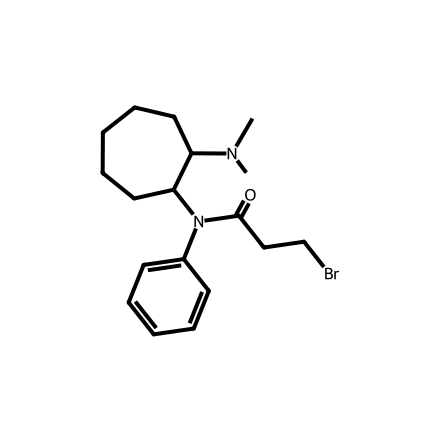 CN(C)C1CCCCCC1N(C(=O)CCBr)c1ccccc1